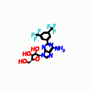 Nc1nc(-c2cc(C(F)(F)F)cc(C(F)(F)F)c2)nc2c1ncn2[C@@H]1O[C@H](CO)[C@@H](O)[C@H]1O